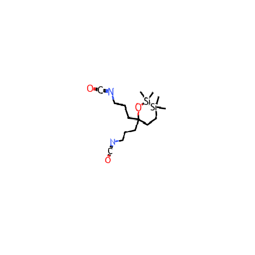 C[Si]1(C)CCC(CCCN=C=O)(CCCN=C=O)O[Si]1(C)C